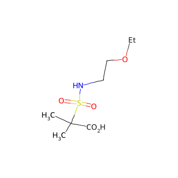 CCOCCNS(=O)(=O)C(C)(C)C(=O)O